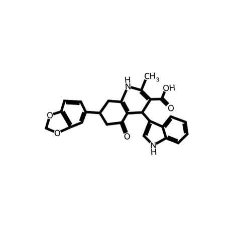 CC1=C(C(=O)O)C(c2c[nH]c3ccccc23)C2=C(CC(c3ccc4c(c3)OCO4)CC2=O)N1